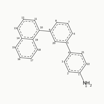 Nc1ccc(-c2cccc(-c3cccc4ccccc34)c2)cc1